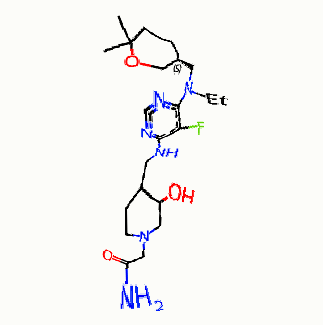 CCN(C[C@@H]1CCC(C)(C)OC1)c1ncnc(NCC2CCN(CC(N)=O)CC2O)c1F